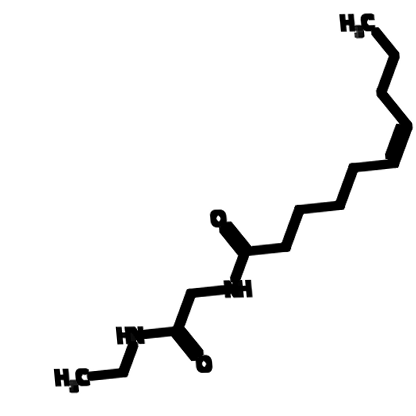 CCC/C=C\CCCCC(=O)NCC(=O)NCC